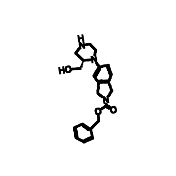 O=C(OCc1ccccc1)N1Cc2ccc(N3CCNC[C@H]3CO)cc2C1